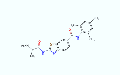 CC(=O)NC(C)C(=O)Nc1nc2ccc(C(=O)Nc3c(C)cc(C)cc3C)cc2s1